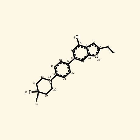 CCc1cc2c(Cl)cc(-c3ccc(N4CCC(F)(F)CC4)cc3)cc2o1